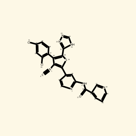 [C-]#[N+]c1c(-c2ccnc(NC(=O)c3cccnc3)c2)sc(-c2nnc[nH]2)c1-c1ccc(Cl)cc1Cl